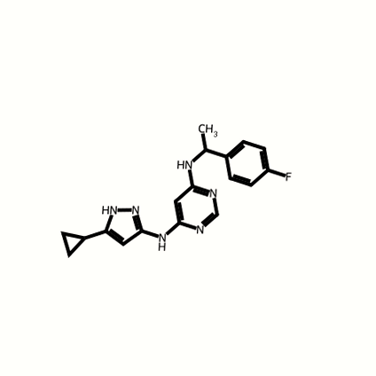 CC(Nc1cc(Nc2cc(C3CC3)[nH]n2)ncn1)c1ccc(F)cc1